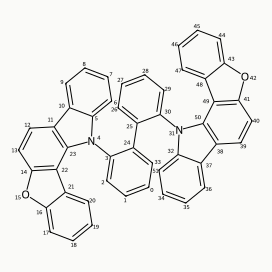 c1ccc(-n2c3ccccc3c3ccc4oc5ccccc5c4c32)c(-c2ccccc2-n2c3ccccc3c3ccc4oc5ccccc5c4c32)c1